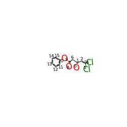 O=C(C=C(Cl)Cl)CC(=O)Oc1ccccc1